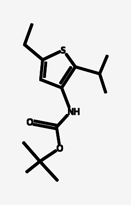 CCc1cc(NC(=O)OC(C)(C)C)c(C(C)C)s1